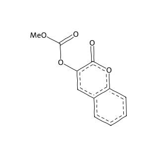 COC(=O)Oc1cc2ccccc2oc1=O